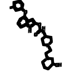 Cc1cccc(Oc2cccc3[nH]c(OC(=O)NC4CCN(CCN5CCCC(O)C5)CC4)cc23)c1